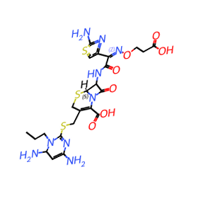 CCCN1C(SCC2=C(C(=O)O)N3C(=O)C(NC(=O)/C(=N\OCCC(=O)O)c4csc(N)n4)[C@@H]3SC2)=NC(N)=CC1N